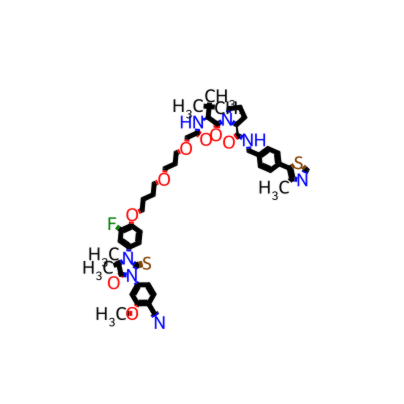 COc1cc(N2C(=O)C(C)(C)N(c3ccc(OCCCCOCCCOCC(=O)N[C@H](C(=O)N4CCC[C@H]4C(=O)NCc4ccc(-c5scnc5C)cc4)C(C)(C)C)c(F)c3)C2=S)ccc1C#N